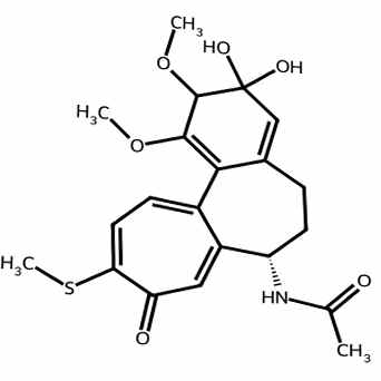 COC1=C2C(=CC(O)(O)C1OC)CC[C@H](NC(C)=O)c1cc(=O)c(SC)ccc12